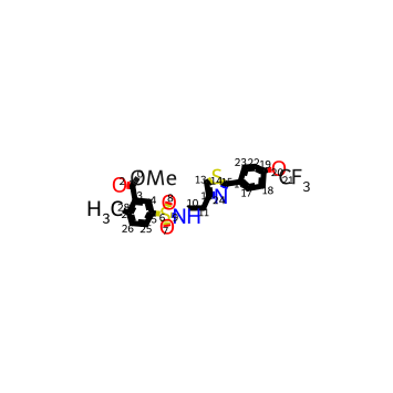 COC(=O)c1cc(S(=O)(=O)NCCc2csc(-c3ccc(OC(F)(F)F)cc3)n2)ccc1C